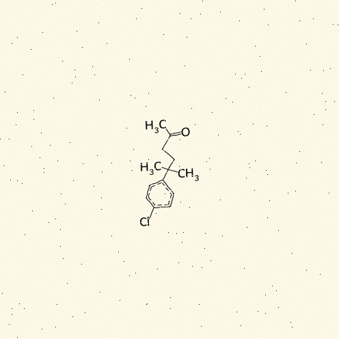 CC(=O)CCC(C)(C)c1ccc(Cl)cc1